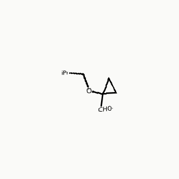 CC(C)COC1([C]=O)CC1